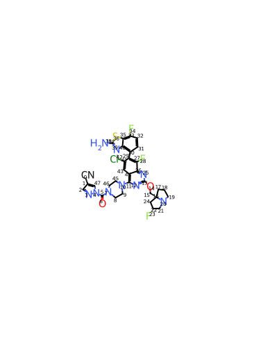 N#Cc1cnn(C(=O)N2CCN(c3nc(OC[C@@]45CCCN4C[C@H](F)C5)nc4c(F)c(-c5ccc(F)c6sc(N)nc56)c(Cl)cc34)CC2)c1